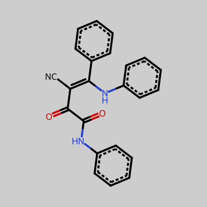 N#CC(C(=O)C(=O)Nc1ccccc1)=C(Nc1ccccc1)c1ccccc1